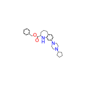 O=C(OCc1ccccc1)C1CCCc2ccc(N3CCN(C4CCCC4)CC3)cc2N1